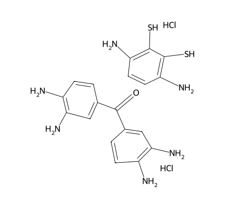 Cl.Cl.Nc1ccc(C(=O)c2ccc(N)c(N)c2)cc1N.Nc1ccc(N)c(S)c1S